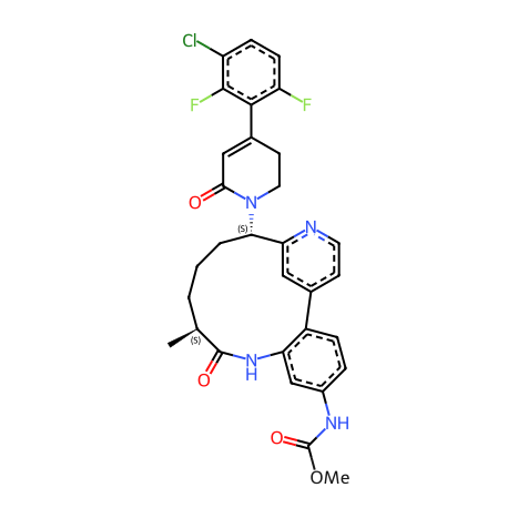 COC(=O)Nc1ccc2c(c1)NC(=O)[C@@H](C)CCC[C@H](N1CCC(c3c(F)ccc(Cl)c3F)=CC1=O)c1cc-2ccn1